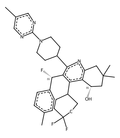 Cc1ccc([C@H](F)c2c(C3CCN(c4ncc(C)cn4)CC3)nc3c(c2C2CCC(F)(F)CC2)[C@@H](O)CC(C)(C)C3)cc1